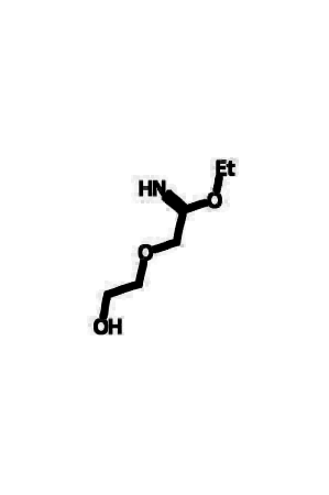 CCOC(=N)COCCO